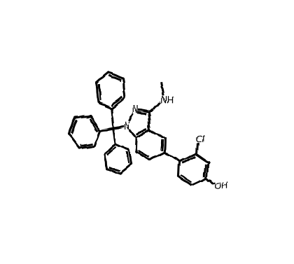 CNc1nn(C(c2ccccc2)(c2ccccc2)c2ccccc2)c2ccc(-c3ccc(O)cc3Cl)cc12